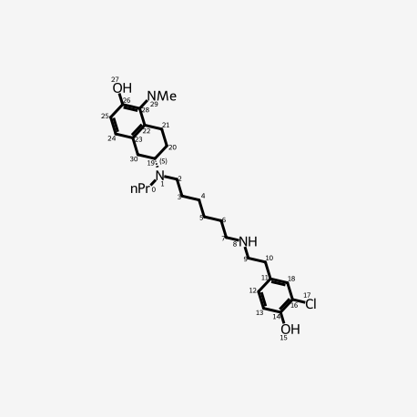 CCCN(CCCCCCNCCc1ccc(O)c(Cl)c1)[C@H]1CCc2c(ccc(O)c2NC)C1